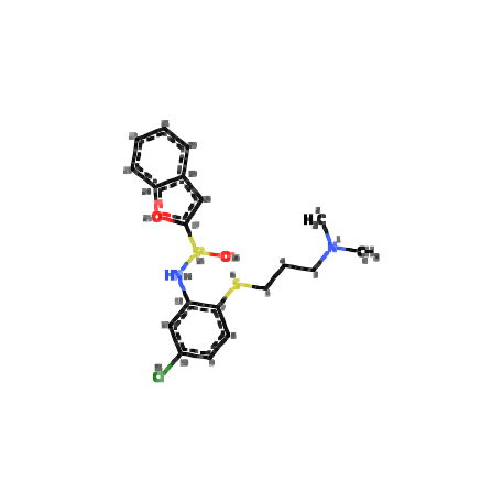 CN(C)CCCSc1ccc(Cl)cc1N[S+]([O-])c1cc2ccccc2o1